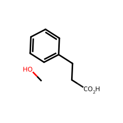 CO.O=C(O)CCc1ccccc1